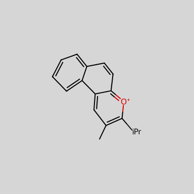 Cc1cc2c(ccc3ccccc32)[o+]c1C(C)C